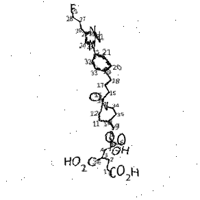 O=C(O)CCC(CP(=O)(O)OCC1CCN(C(=O)CCCc2ccc(-n3cc(CCCF)nn3)cc2)CC1)C(=O)O